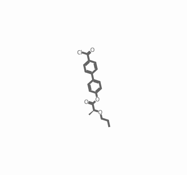 CCCO[C@@H](C)C(=O)Oc1ccc(-c2ccc(C(=O)Cl)cc2)cc1